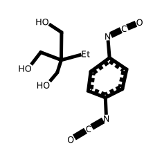 CCC(CO)(CO)CO.O=C=Nc1ccc(N=C=O)cc1